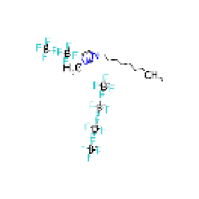 CCCCCCCCn1cc[n+](C)c1.F[B-](F)(F)F.F[B-](F)(F)F.F[B-](F)(F)F.F[B-](F)(F)F.F[B-](F)(F)F.F[B-](F)(F)F